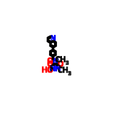 CNC(=O)C(C(=O)NO)N(C)C(=O)c1ccc(-c2ccc3ncccc3c2)cc1